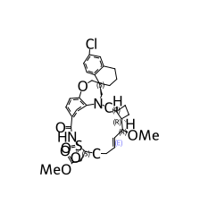 COC(=O)C[C@@H]1CC/C=C/[C@H](OC)[C@@H]2CC[C@H]2CN2C[C@@]3(CCCc4cc(Cl)ccc43)COc3ccc(cc32)C(=O)NS1(=O)=O